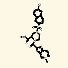 CNC(=O)C1CN(S(=O)(=O)c2ccc3cc(Cl)ccc3c2)CCN1C(=O)c1nc2c[n+](C)ccc2s1.[I-]